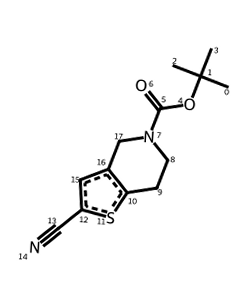 CC(C)(C)OC(=O)N1CCc2sc(C#N)cc2C1